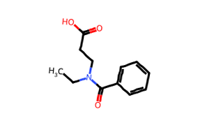 CCN(CCC(=O)O)C(=O)c1ccccc1